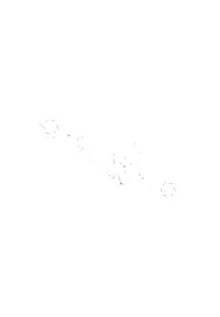 O=C(NCCCC[C@@H]1NC(=O)C2(CCN(CCc3ccccc3)CC2)N(C2CCCC2)C1=O)OCc1ccccc1